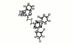 CCCCC(CCCc1nc(-c2ccc(C)cc2C)nc(-c2ccc(C)cc2C)n1)Oc1ccccc1O